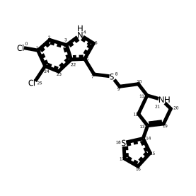 Clc1cc2[nH]cc(CSCCC3CC(c4cccs4)=CCN3)c2cc1Cl